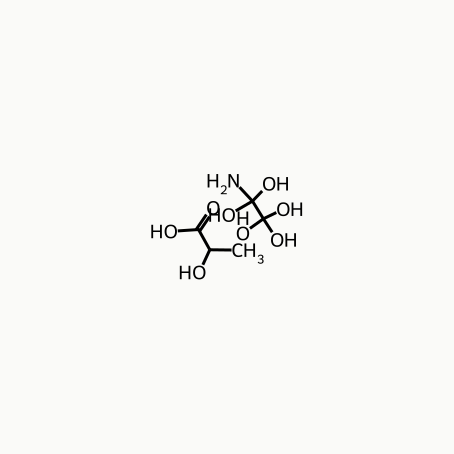 CC(O)C(=O)O.NC(O)(O)C(O)(O)O